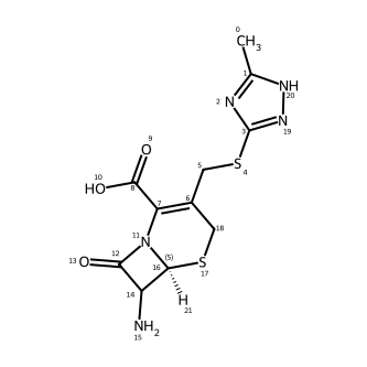 Cc1nc(SCC2=C(C(=O)O)N3C(=O)C(N)[C@@H]3SC2)n[nH]1